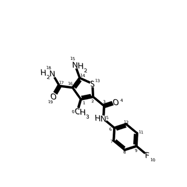 Cc1c(C(=O)Nc2ccc(F)cc2)sc(N)c1C(N)=O